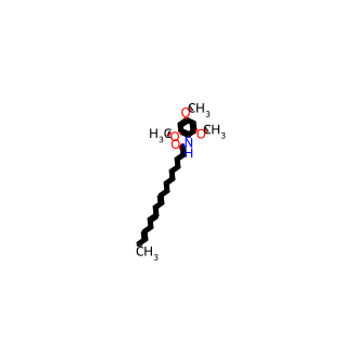 CC/C=C/C/C=C/C/C=C/CCCCCCCC(=O)Nc1c(OC)cc(OC)cc1OC